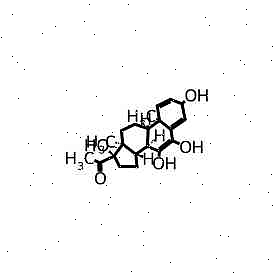 CC(=O)[C@@]1(O)CC[C@H]2[C@@H]3C(O)=C(O)C4=CC(O)C=C[C@]4(C)[C@H]3CC[C@@]21C